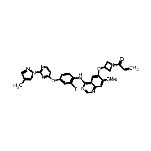 C=CC(=O)N1CC(Oc2cc3c(Nc4ccc(Oc5ccnc(-n6cc(C)cn6)n5)cc4F)ncnc3cc2OC)C1